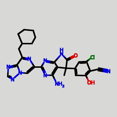 CC1(c2cc(O)c(C#N)c(Cl)c2)C(=O)Nc2nc(-c3cn4ncnc4c(CC4CCCCC4)n3)nc(N)c21